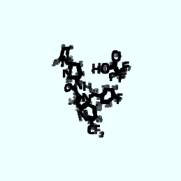 O=C(Nc1ccc(N2CCC2)nc1)c1cc2nc(C(F)(F)F)ccc2n1Cc1ccc(F)cc1.O=C(O)C(F)(F)F